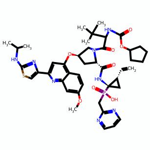 C=C[C@@H]1C[C@]1(NC(=O)[C@@H]1C[C@@H](Oc2cc(-c3csc(NC(C)C)n3)nc3cc(OC)ccc23)CN1C(=O)C(NC(=O)OC1CCCC1)C(C)(C)C)P(=O)(O)Cc1ncccn1